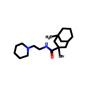 CCCC1(C(=O)NCCN2CCCCC2)CC2CCCC(C)(C2)C1